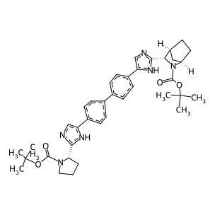 CC(C)(C)OC(=O)N1CCC[C@H]1c1ncc(-c2ccc(-c3ccc(-c4cnc([C@@H]5[C@H]6CC[C@H](C6)N5C(=O)OC(C)(C)C)[nH]4)cc3)cc2)[nH]1